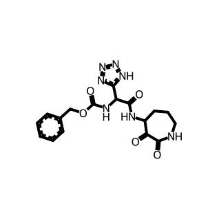 O=C(NC(C(=O)NC1CCCNC(=O)C1=O)c1nnn[nH]1)OCc1ccccc1